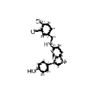 Oc1ccc(-c2cnc3ccc(NCc4ccc(Cl)c(Cl)c4)nn23)cc1